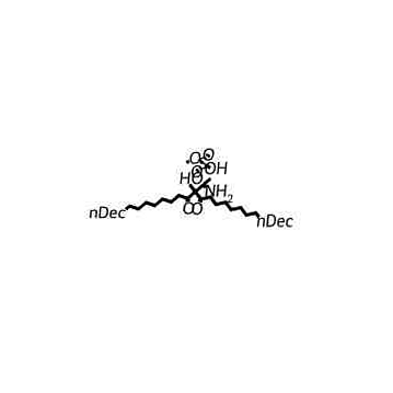 CCCCCCCCCCCCCCCCCC(=O)C(C)(C(=O)CCCCCCCCCCCCCCCCC)C(C)(N)O.COS(=O)(=O)O